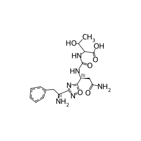 CC(O)C(NC(=O)N[C@@H](CC(N)=O)c1nc([C@@H](N)Cc2ccccc2)no1)C(=O)O